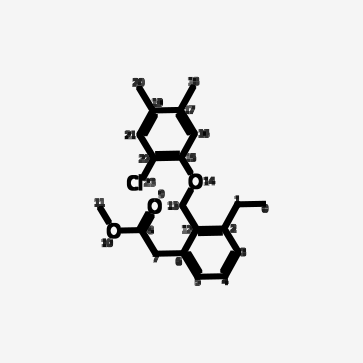 CCc1cccc(CC(=O)OC)c1COc1cc(C)c(C)cc1Cl